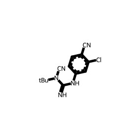 CC(C)(C)N(C#N)C(=N)Nc1ccc(C#N)c(Cl)c1